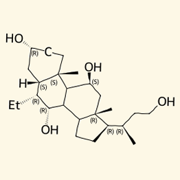 CC[C@H]1[C@@H](O)C2C3CC[C@H]([C@H](C)CCO)[C@@]3(C)C[C@H](O)C2[C@@]2(C)CC[C@@H](O)C[C@@H]12